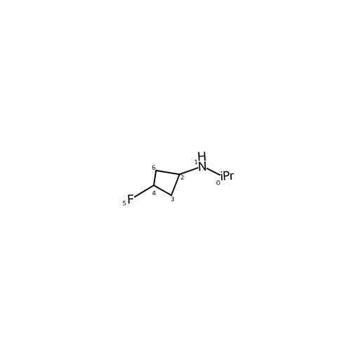 CC(C)NC1CC(F)C1